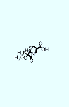 COC1(N)C(=O)N2C=C(C(=O)O)CS[C@@H]21